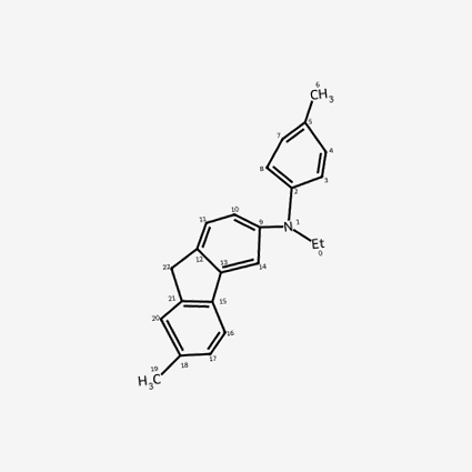 CCN(c1ccc(C)cc1)c1ccc2c(c1)-c1ccc(C)cc1C2